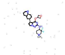 CN1CCC(Nc2nc(OC3COC3)c3c(-c4ccc5ncccc5c4)ccn3n2)C(F)(F)C1